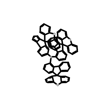 c1ccc2c(c1)Oc1ccccc1C21c2ccccc2-c2ccc(N(c3cccc4c3-c3ccccc3C43c4ccccc4Oc4ccccc43)c3cccc4c3-c3ccccc3C43c4ccccc4Sc4ccccc43)cc21